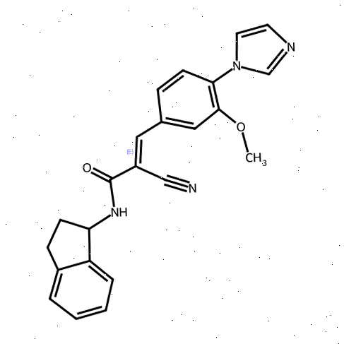 COc1cc(/C=C(\C#N)C(=O)NC2CCc3ccccc32)ccc1-n1ccnc1